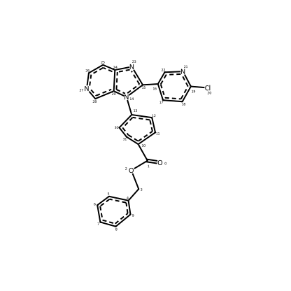 O=C(OCc1ccccc1)c1ccc(-n2c(-c3ccc(Cl)nc3)nc3ccncc32)cc1